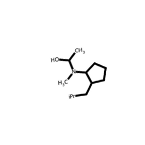 CC(C)CC1CCCC1N(C)C(C)O